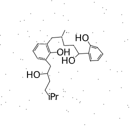 CC(C)CCC(O)Cc1cccc(CC(C)CCC(O)c2ccccc2O)c1O